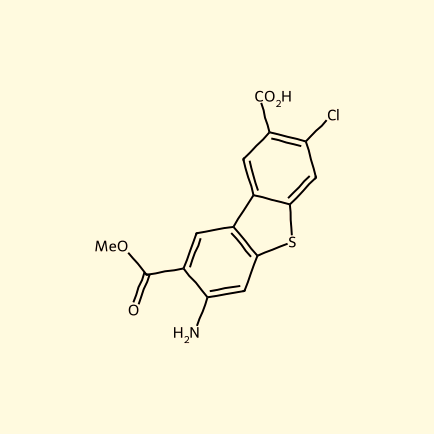 COC(=O)c1cc2c(cc1N)sc1cc(Cl)c(C(=O)O)cc12